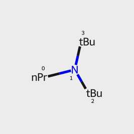 CCCN(C(C)(C)C)C(C)(C)C